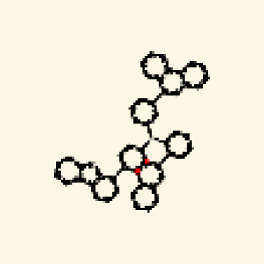 c1cc(-c2cc3ccccc3c3ccccc23)cc(N(c2ccc(-c3cccc4c3sc3ccccc34)cc2)c2ccccc2-c2ccc3ccccc3c2)c1